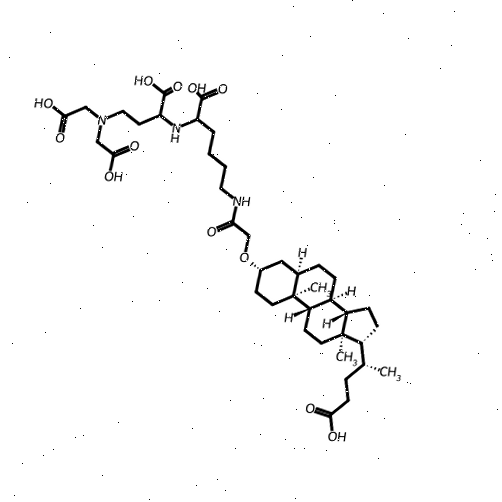 C[C@H](CCC(=O)O)[C@H]1CC[C@H]2[C@@H]3CC[C@@H]4C[C@@H](OCC(=O)NCCCCC(NC(CCN(CC(=O)O)CC(=O)O)C(=O)O)C(=O)O)CC[C@]4(C)[C@H]3CC[C@]12C